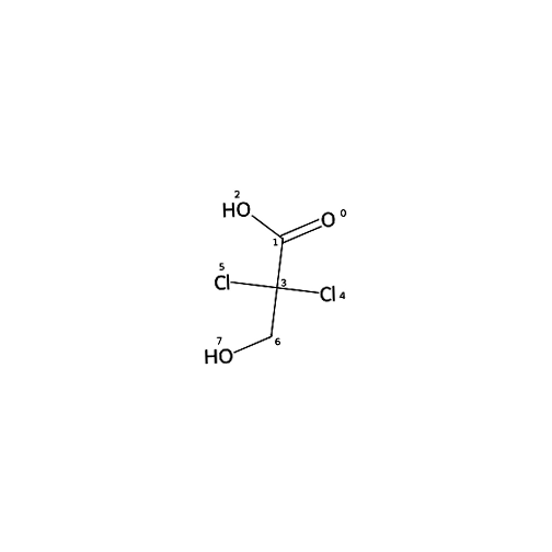 O=C(O)C(Cl)(Cl)CO